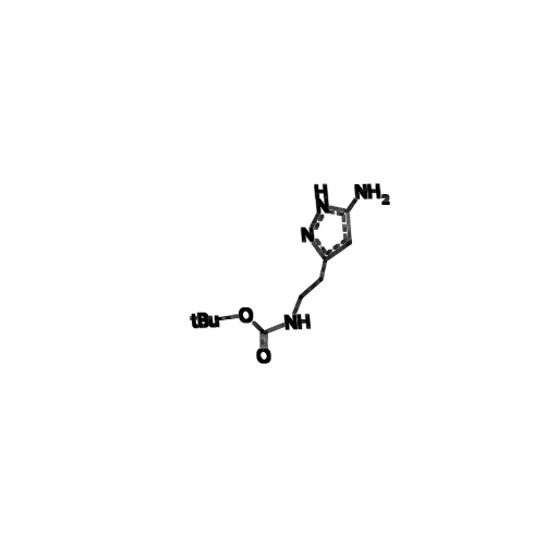 CC(C)(C)OC(=O)NCCc1cc(N)[nH]n1